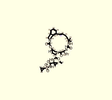 C=C[C@@H]1C[C@]1(NC(=O)[C@@H]1C[C@@H]2CN1C(=O)[C@H](C(C)C)NC(=O)NC(C)(C)CC/C=C/c1cccc3c1CN(C3)C(=O)O2)C(=O)NS(=O)(=O)C1CC1